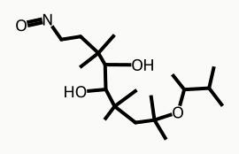 CC(C)C(C)OC(C)(C)CC(C)(C)C(O)C(O)C(C)(C)CCN=O